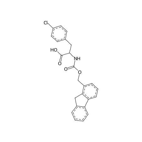 O=C(NC(Cc1ccc(Cl)cc1)C(=O)O)OCc1cccc2c1Cc1ccccc1-2